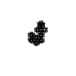 CC1(C)OB(c2c3ccccc3c(-c3cccc(-c4cc(-c5ccccc5)c(-c5ccccc5)c(-c5ccccc5)c4-c4ccccc4)c3)c3ccccc23)OC1(C)C